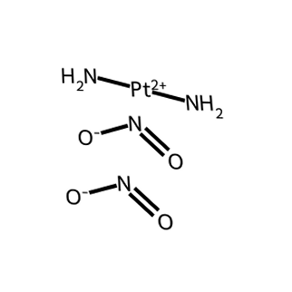 O=N[O-].O=N[O-].[NH2][Pt+2][NH2]